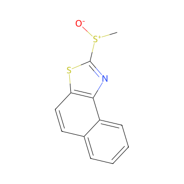 C[S+]([O-])c1nc2c(ccc3ccccc32)s1